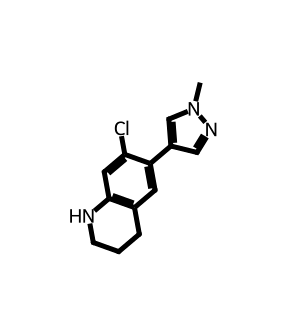 Cn1cc(-c2cc3c(cc2Cl)NCCC3)cn1